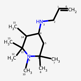 C=CCNC1CC(C)(C)N(C)C(C)(C)C1C